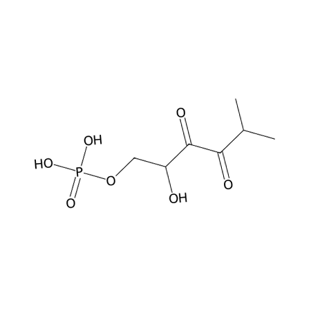 CC(C)C(=O)C(=O)C(O)COP(=O)(O)O